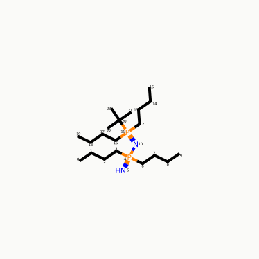 CCCCP(=N)(CCCC)N=P(CCCC)(CCCC)C(C)(C)C